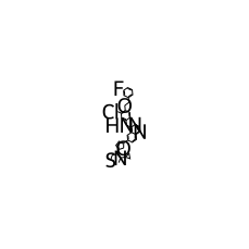 CSCC(c1ccc(-c2ccc3ncnc(Nc4ccc(OCc5cccc(F)c5)c(Cl)c4)c3c2)o1)N(C)C1CC1